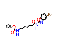 CC(C)(C)OC(=O)NCCCCCCC(=O)Nc1nc2cc(Br)ccc2o1